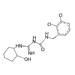 N=C(NC(=O)NCc1cccc(Cl)c1Cl)NC1CCCCC1O